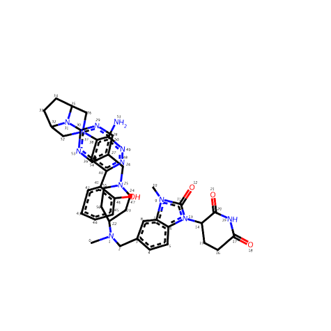 CN(Cc1ccc2c(c1)n(C)c(=O)n2C1CCC(=O)NC1=O)C1CCN(Cc2cnc(N3C4CCC3CN(c3cc(-c5ccccc5O)nnc3N)C4)nc2)CC1